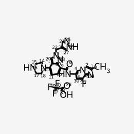 Cc1cn2cc(NC(=O)c3ccc(N4CCNCC4)c4cn(Cc5cn[nH]c5)nc34)cc(F)c2n1.O=C(O)C(F)(F)F